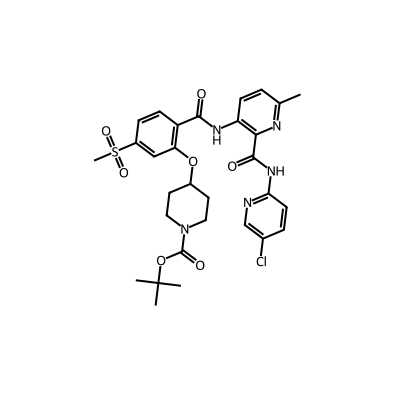 Cc1ccc(NC(=O)c2ccc(S(C)(=O)=O)cc2OC2CCN(C(=O)OC(C)(C)C)CC2)c(C(=O)Nc2ccc(Cl)cn2)n1